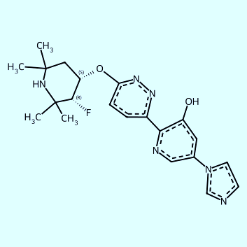 CC1(C)C[C@H](Oc2ccc(-c3ncc(-n4ccnc4)cc3O)nn2)[C@H](F)C(C)(C)N1